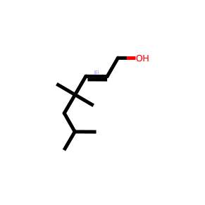 CC(C)CC(C)(C)/C=C/CO